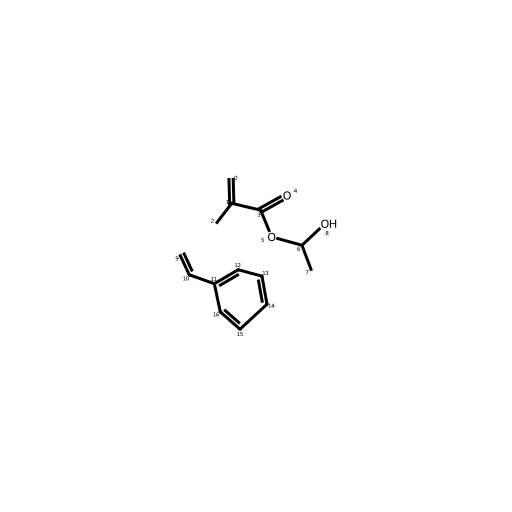 C=C(C)C(=O)OC(C)O.C=Cc1ccccc1